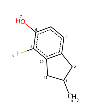 CC1Cc2ccc(O)c(F)c2C1